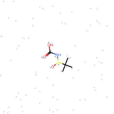 CC(C)(C)[S+]([O-])NC(=O)O